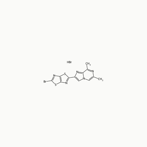 Br.Cc1cn2cc(-c3nc4sc(Br)nc4s3)nc2c(C)n1